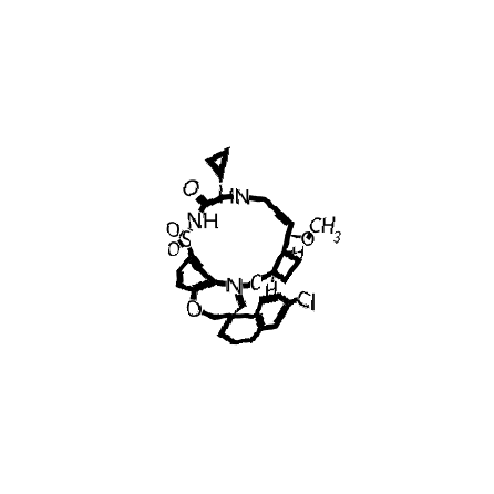 CO[C@@H]1C=CCN[C@@H](C2CC2)C(=O)NS(=O)(=O)c2ccc3c(c2)N(C[C@@H]2CC[C@H]21)C[C@@]1(CCCc2cc(Cl)ccc21)CO3